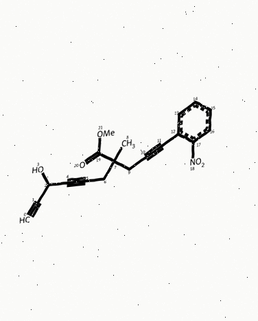 C#CC(O)C#CCC(C)(CC#Cc1ccccc1[N+](=O)[O-])C(=O)OC